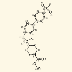 CC(C)OC(=O)N1CCC([C@]2(C)Cc3cc(-c4ccc(S(C)(=O)=O)cc4)ncc3O2)CC1